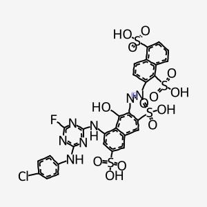 O=S(=O)(O)c1cc(Nc2nc(F)nc(Nc3ccc(Cl)cc3)n2)c2c(O)c(/N=N/c3ccc4c(S(=O)(=O)O)cccc4c3S(=O)(=O)O)c(S(=O)(=O)O)cc2c1